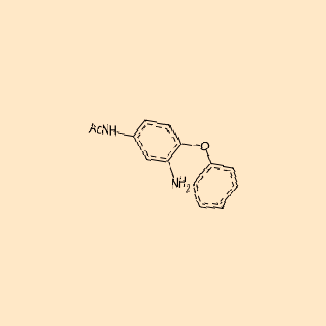 CC(=O)Nc1ccc(Oc2ccccc2)c(N)c1